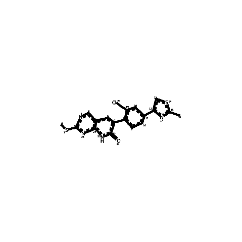 CSc1ncc2cc(-c3ccc(-c4csc(C)n4)cc3Cl)c(=O)[nH]c2n1